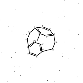 Ic1cc2ccc1CCc1ccc(cc1)CC2